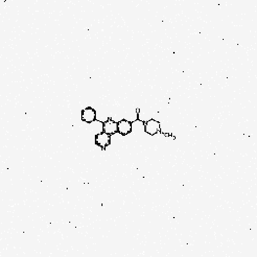 CN1CCN(C(=O)c2ccc3c(c2)nc(-c2ccccc2)c2ccncc23)CC1